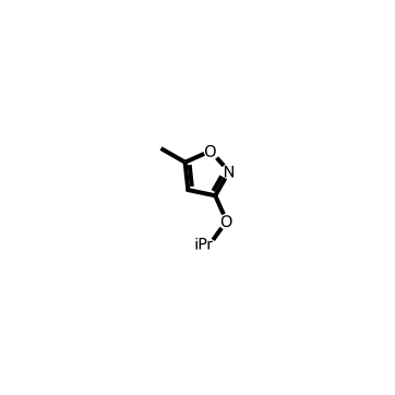 Cc1cc(OC(C)C)no1